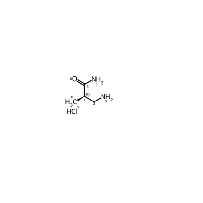 C[C@H](CN)C(N)=O.Cl